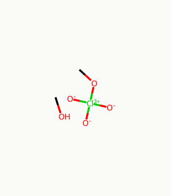 CO.CO[Cl+3]([O-])([O-])[O-]